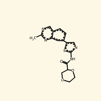 Cc1ncc2ccc(-c3cnc(NC(=O)C4COCCO4)s3)cc2n1